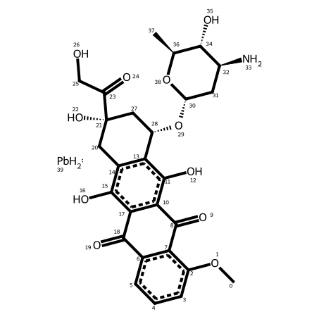 COc1cccc2c1C(=O)c1c(O)c3c(c(O)c1C2=O)C[C@@](O)(C(=O)CO)C[C@@H]3O[C@H]1C[C@H](N)[C@@H](O)[C@H](C)O1.[PbH2]